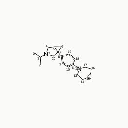 CC(C)N1CC2CC2(c2ccc(N3CCOCC3)cc2)C1